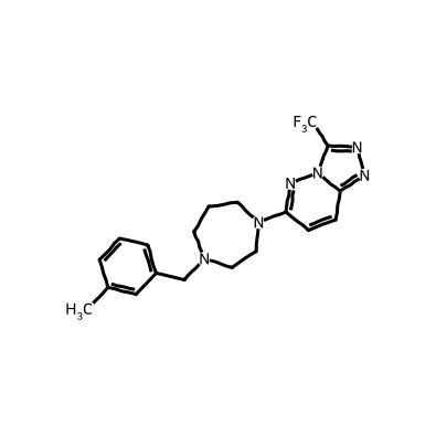 Cc1cccc(CN2CCCN(c3ccc4nnc(C(F)(F)F)n4n3)CC2)c1